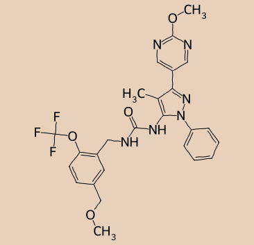 COCc1ccc(OC(F)(F)F)c(CNC(=O)Nc2c(C)c(-c3cnc(OC)nc3)nn2-c2ccccc2)c1